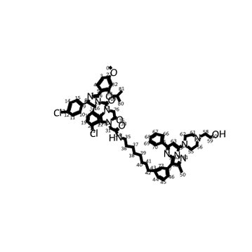 COc1ccc(C2=N[C@H](c3ccc(Cl)cc3)[C@H](c3ccc(Cl)cc3)N2C(=O)N2CCN(CC(=O)NCCCCCCCCc3cccc(-c4c(C)nn5c(N6CCN(CCO)CC6)cc(-c6ccccc6)nc45)c3)C(=O)C2)c(OC(C)C)c1